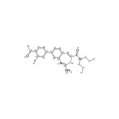 CCCN(CCC)C(=O)C1=Cc2ccc(-c3ccc(C(C)=O)c(F)c3)cc2N=C(N)C1